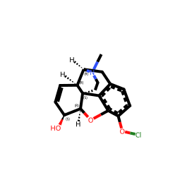 CN1CC[C@]23c4c5ccc(OCl)c4O[C@H]2[C@@H](O)C=C[C@H]3[C@H]1C5